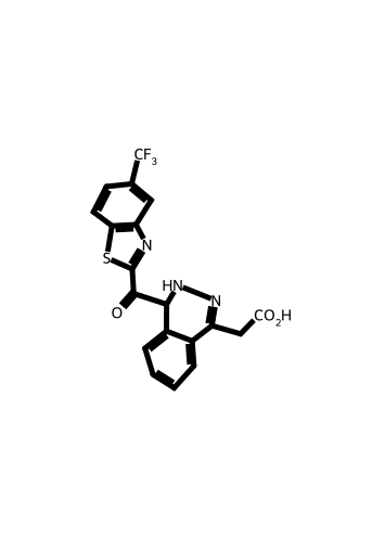 O=C(O)CC1=NNC(C(=O)c2nc3cc(C(F)(F)F)ccc3s2)c2ccccc21